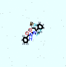 O=C(NC1=N[C@@](c2ccccc2F)(C(F)F)C[C@@H](CBr)O1)c1ccccc1